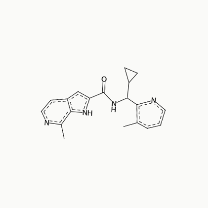 Cc1cccnc1C(NC(=O)c1cc2ccnc(C)c2[nH]1)C1CC1